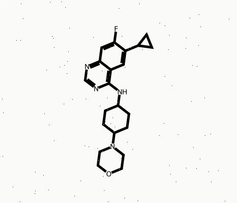 Fc1cc2ncnc(NC3CCC(N4CCOCC4)CC3)c2cc1C1CC1